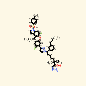 CCOC(=O)CCc1cccc(C(CCCCC(C)(C)C(O)CN)n2ccc(-c3cc(Oc4c(F)cc5c(ccn5S(=O)(=O)c5ccc(C)cc5)c4CC(=O)O)ccc3F)n2)c1